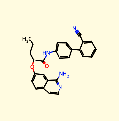 CCCC(Oc1ccc2ccnc(N)c2c1)C(=O)Nc1ccc(-c2ccccc2C#N)cc1